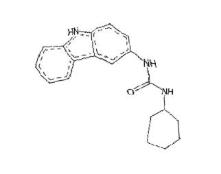 O=C(Nc1ccc2[nH]c3ccccc3c2c1)NC1CCCCC1